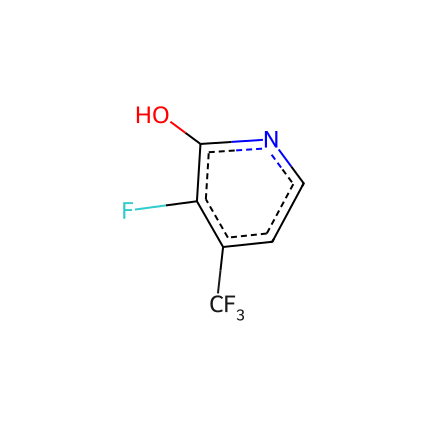 Oc1nccc(C(F)(F)F)c1F